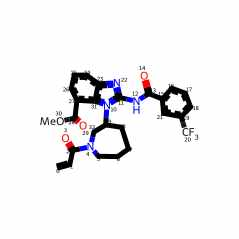 C=CC(=O)N1CCCCC(n2c(NC(=O)c3cccc(C(F)(F)F)c3)nc3cccc(C(=O)OC)c32)C1